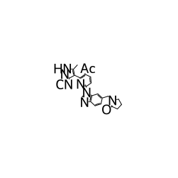 CC(=O)c1ccc(-n2cnc3ccc(CN4CCCC4=O)cc32)nc1-c1c(C#N)n[nH]c1C